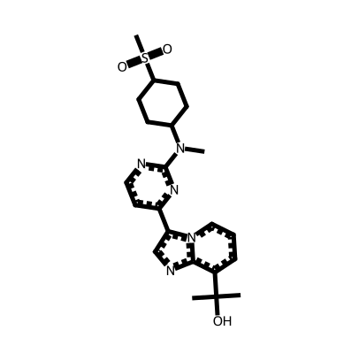 CN(c1nccc(-c2cnc3c(C(C)(C)O)cccn23)n1)C1CCC(S(C)(=O)=O)CC1